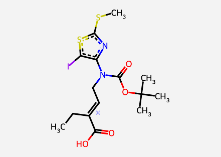 CC/C(=C\CN(C(=O)OC(C)(C)C)c1nc(SC)sc1I)C(=O)O